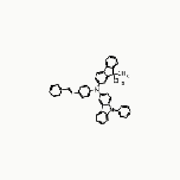 CC1(C)c2ccccc2-c2ccc(N(c3ccc(/C=C/c4ccccc4)cc3)c3ccc4c(c3)c3ccccc3n4-c3ccccc3)cc21